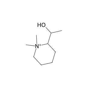 CC(O)C1CCCC[N+]1(C)C